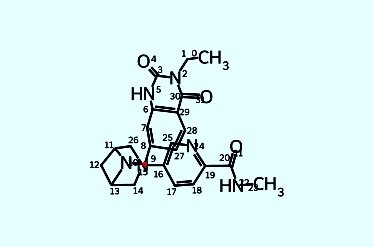 CCn1c(=O)[nH]c2cc(CN3C4CC3CN(c3ccc(C(=O)NC)nc3)C4)ccc2c1=O